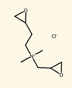 C[N+](C)(CCC1CO1)CC1CO1.[Cl-]